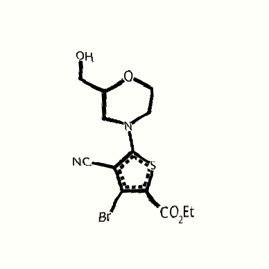 CCOC(=O)c1sc(N2CCOC(CO)C2)c(C#N)c1Br